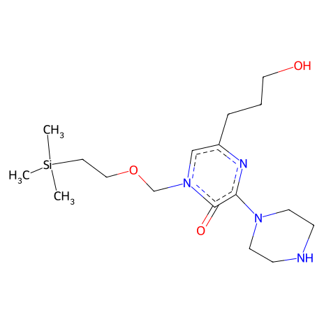 C[Si](C)(C)CCOCn1cc(CCCO)nc(N2CCNCC2)c1=O